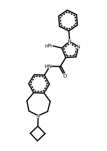 CCCc1c(C(=O)Nc2ccc3c(c2)CCN(C2CCC2)CC3)cnn1-c1ccccc1